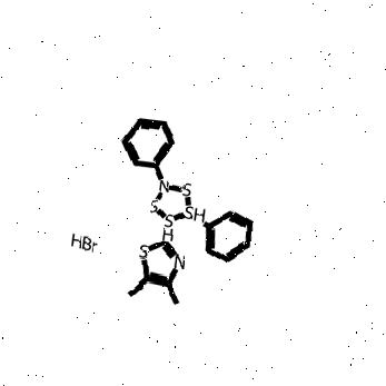 Br.Cc1nc([SH]2SN(c3ccccc3)S[SH]2c2ccccc2)sc1C